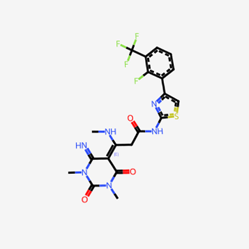 CN/C(CC(=O)Nc1nc(-c2cccc(C(F)(F)F)c2F)cs1)=C1\C(=N)N(C)C(=O)N(C)C1=O